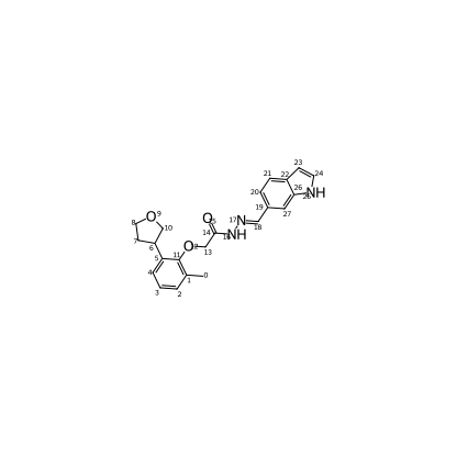 Cc1cccc(C2CCOC2)c1OCC(=O)NN=Cc1ccc2cc[nH]c2c1